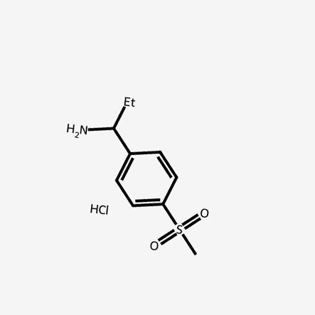 CCC(N)c1ccc(S(C)(=O)=O)cc1.Cl